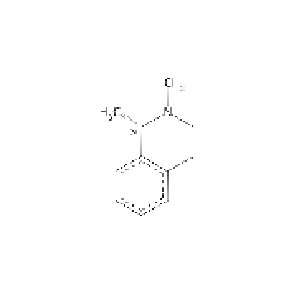 C[C@H]1c2ccccc2CCN1C